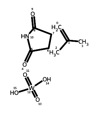 C=C(C)C.O=C1CCC(=O)N1.[O]=[W](=[O])([OH])[OH]